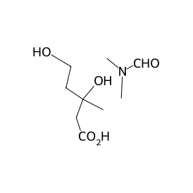 CC(O)(CCO)CC(=O)O.CN(C)C=O